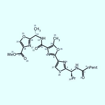 CCCCCC(=O)N[C@H](c1nc(-c2nc(C(=O)N[C@@H](C)c3nc(C(=O)OC)co3)c(C)o2)cs1)C(C)C